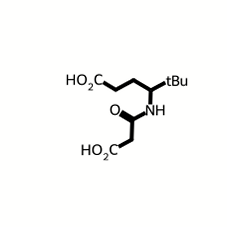 CC(C)(C)C(CCC(=O)O)NC(=O)CC(=O)O